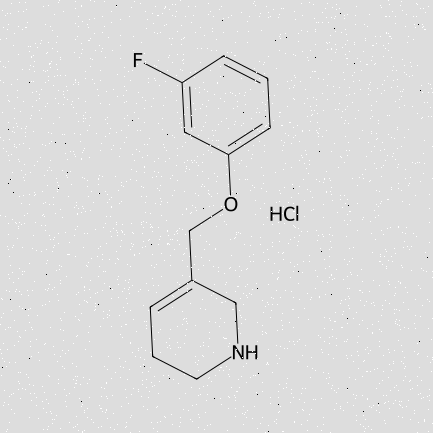 Cl.Fc1cccc(OCC2=CCCNC2)c1